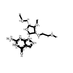 COCCO[C@H]1C(OC)[C@@H](COC)O[C@H]1n1ncc2c(=O)[nH]c(N)nc21